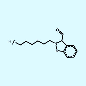 CCCCCCCN1Sc2ccccc2C1C=O